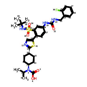 CC(C)N(C(=O)O)[C@H]1CC[C@H](c2ncc(-c3ccc(NC(=O)NCc4ccccc4F)cc3S(=O)(=O)NC(C)(C)C)s2)CC1